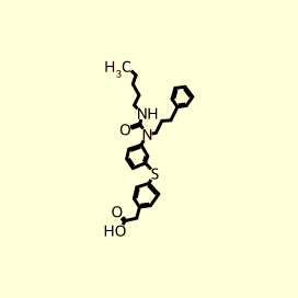 CCCCCNC(=O)N(CCCc1ccccc1)c1cccc(Sc2ccc(CC(=O)O)cc2)c1